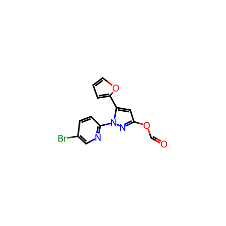 O=COc1cc(-c2ccco2)n(-c2ccc(Br)cn2)n1